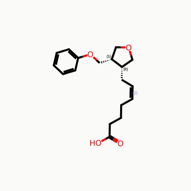 O=C(O)CCC/C=C\C[C@H]1COC[C@H]1COc1ccccc1